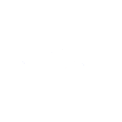 Cc1ncc(/C=C/C(=O)c2c(C)c3ccsc3[nH]c2=O)cc1F